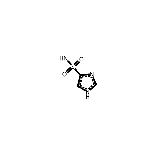 [NH]S(=O)(=O)c1c[nH]cn1